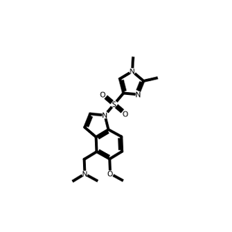 COc1ccc2c(ccn2S(=O)(=O)c2cn(C)c(C)n2)c1CN(C)C